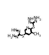 Cc1cc(SC(N=N)=NN)cnc1SC(N=N)=NN